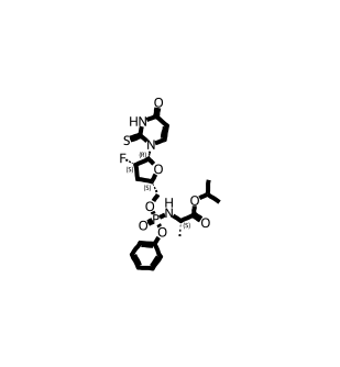 CC(C)OC(=O)[C@H](C)NP(=O)(OC[C@@H]1C[C@H](F)[C@H](n2ccc(=O)[nH]c2=S)O1)Oc1ccccc1